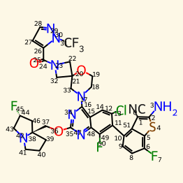 N#Cc1c(N)sc2c(F)ccc(-c3c(Cl)cc4c(N5CCOC6(CN(C(=O)c7ccnn7C(F)(F)F)C6)C5)nc(OC[C@@]56CCCN5C[C@H](F)C6)nc4c3F)c12